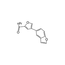 CCCC(=O)c1cc(-c2ccc3occc3c2)co1